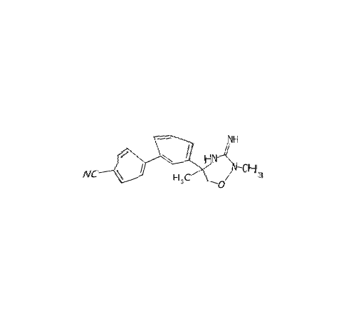 CN1OCC(C)(c2cccc(-c3ccc(C#N)cc3)c2)NC1=N